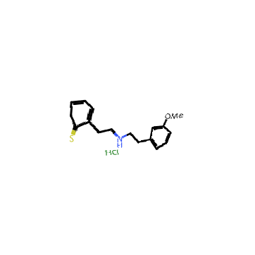 COc1cccc(CCNCCC2=CC=CCC2=S)c1.Cl